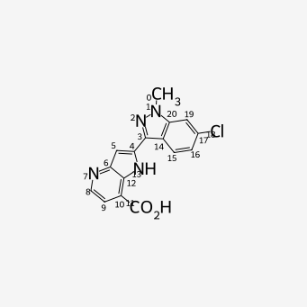 Cn1nc(-c2cc3nccc(C(=O)O)c3[nH]2)c2ccc(Cl)cc21